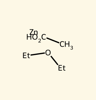 CC(=O)O.CCOCC.[Zn]